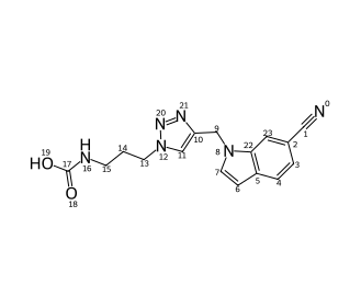 N#Cc1ccc2ccn(Cc3cn(CCCNC(=O)O)nn3)c2c1